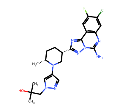 C[C@@H]1CC[C@H](c2nc3c4cc(F)c(Cl)cc4nc(N)n3n2)CN1c1cnn(CC(C)(C)O)c1